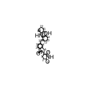 O=C1CCC(N2Cc3cc(C[C@H]4CCC[C@H](O)[C@@H]4NC4CCCCC4)ccc3C2=O)C(=O)N1